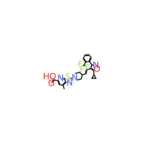 Cc1cc(C(=O)O)nc2sc(N3CCC(/C=C/c4c(-c5ccccc5C(F)(F)F)noc4C4CC4)CC3)nc12